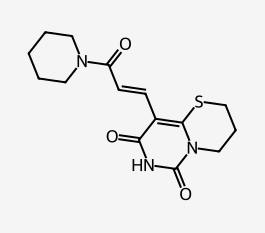 O=C(C=Cc1c2n(c(=O)[nH]c1=O)CCCS2)N1CCCCC1